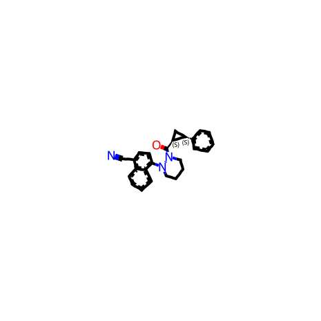 N#Cc1ccc(N2CCCCN2C(=O)[C@H]2C[C@@H]2c2ccccc2)c2ccccc12